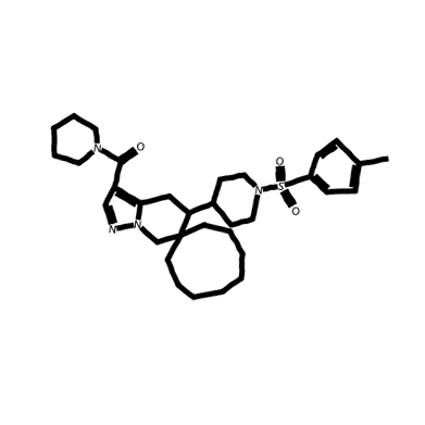 Cc1ccc(S(=O)(=O)N2CCC(C3Cc4c(C(=O)N5CCCCC5)cnn4CC34CCCCCCCC4)CC2)cc1